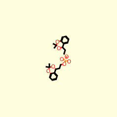 CC1(C)Oc2ccccc2C(CCOS(=O)(=O)OCCC2OC(C)(C)Oc3ccccc32)O1